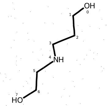 OCCCNCCO